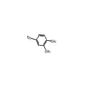 [CH2]Cc1ccc(OC(C)=O)c(OC(C)=O)c1